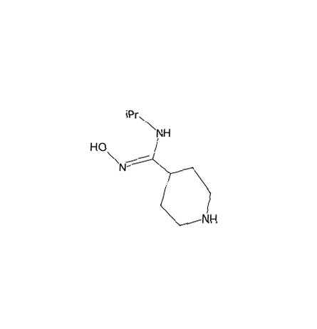 CC(C)NC(=NO)C1CCNCC1